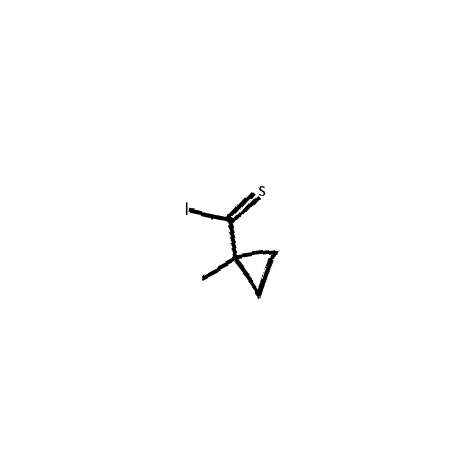 CC1(C(=S)I)CC1